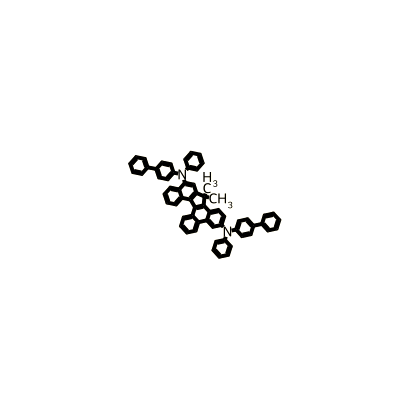 CC1(C)c2cc(N(c3ccccc3)c3ccc(-c4ccccc4)cc3)c3ccccc3c2-c2c1c1ccc(N(c3ccccc3)c3ccc(-c4ccccc4)cc3)cc1c1ccccc21